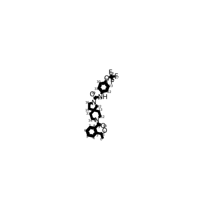 CC(=O)c1ccccc1C(=O)N1CCC2(CCN(C(=O)Nc3ccc(OC(F)(F)F)cc3)C2)CC1